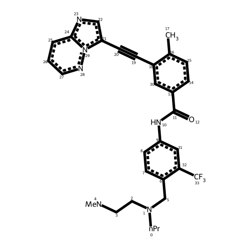 CCCN(CCNC)Cc1ccc(NC(=O)c2ccc(C)c(C#Cc3cnc4cccnn34)c2)cc1C(F)(F)F